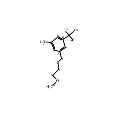 COCCSCc1cc(N)cc(C(F)(F)F)c1